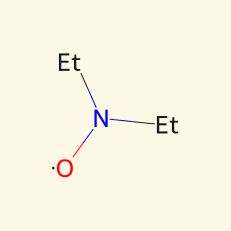 CCN([O])CC